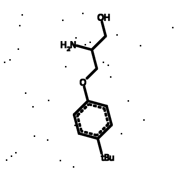 CC(C)(C)c1ccc(OCC(N)CO)cc1